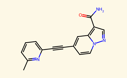 Cc1cccc(C#Cc2ccn3ncc(C(N)=O)c3c2)n1